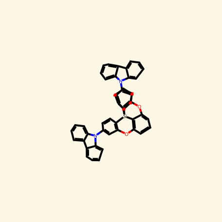 c1ccc([Si]23c4ccc(-n5c6ccccc6c6ccccc65)cc4Oc4cccc(c42)Oc2cc(-n4c5ccccc5c5ccccc54)ccc23)cc1